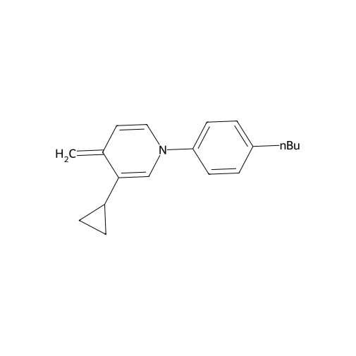 C=C1C=CN(c2ccc(CCCC)cc2)C=C1C1CC1